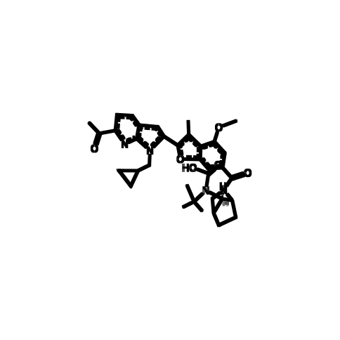 COc1cc(C(=O)N2CC3CCC2[C@@H]3N(C(=O)O)C(C)(C)C)cc2oc(-c3cc4ccc(C(C)=O)nc4n3CC3CC3)c(C)c12